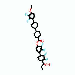 CCOc1ccc(C2=CCC(C3CCC(C(=O)Oc4ccc(-c5ccc(C(O)CC)c(F)c5F)c(F)c4F)CC3)CC2)c(F)c1F